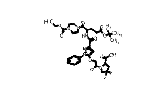 CCOC(=O)N1CCN(C(=O)C(CCC(=O)OC(C)(C)C)NC(=O)c2cc(OCC(=O)N3CC(F)(F)CC3C(=O)O)n(-c3ccccc3)n2)CC1